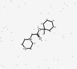 CC1(OC(=O)CN2CCSCC2)CCCCC1